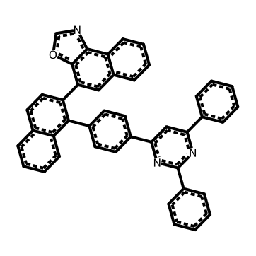 c1ccc(-c2cc(-c3ccc(-c4c(-c5cc6ccccc6c6ncoc56)ccc5ccccc45)cc3)nc(-c3ccccc3)n2)cc1